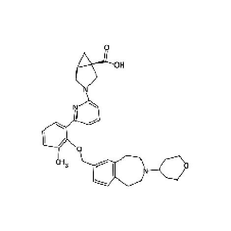 Cc1cccc(-c2cccc(N3CC4C[C@]4(C(=O)O)C3)n2)c1OCc1ccc2c(c1)CCN(C1CCOCC1)CC2